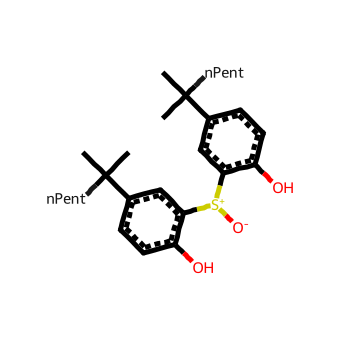 CCCCCC(C)(C)c1ccc(O)c([S+]([O-])c2cc(C(C)(C)CCCCC)ccc2O)c1